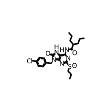 CCCC(CCC)C(=O)Nc1nc([S+]([O-])CCC)nc2c1[nH]c(=O)n2Cc1ccc(Cl)cc1